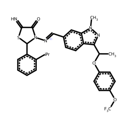 CC(C)c1ccccc1C1SC(=N)C(=O)N1/N=C/c1ccc2c(C(C)Oc3ccc(OC(F)(F)F)cc3)nn(C)c2c1